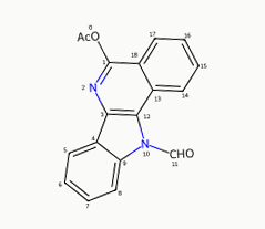 CC(=O)Oc1nc2c3ccccc3n(C=O)c2c2ccccc12